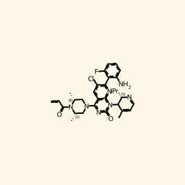 C=CC(=O)N1[C@H](C)CN(c2nc(=O)n(C3C(C)=CC=N[C@H]3C(C)C)c3nc(-c4c(N)cccc4F)c(Cl)cc23)C[C@@H]1C